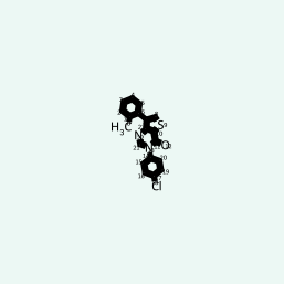 Cc1ccccc1-c1csc2c(=O)n(-c3ccc(Cl)cc3)cnc12